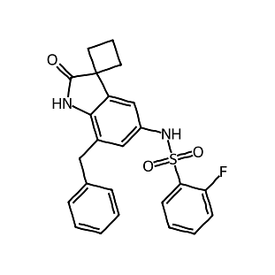 O=C1Nc2c(Cc3ccccc3)cc(NS(=O)(=O)c3ccccc3F)cc2C12CCC2